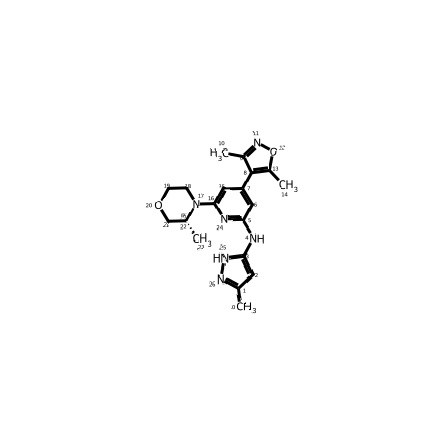 Cc1cc(Nc2cc(-c3c(C)noc3C)cc(N3CCOC[C@H]3C)n2)[nH]n1